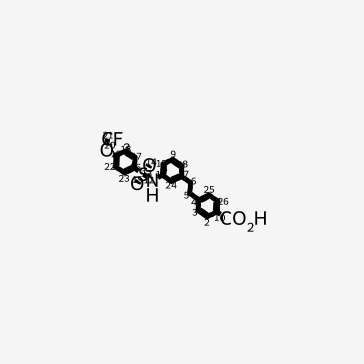 O=C(O)c1ccc(CCc2cccc(NS(=O)(=O)c3ccc(OC(F)(F)F)cc3)c2)cc1